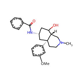 COc1cccc([C@@]23CCN(C)C[C@H]2C(O)C[C@@H](NC(=O)c2ccccc2)C3)c1